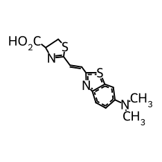 CN(C)c1ccc2nc(/C=C/C3=NC(C(=O)O)CS3)sc2c1